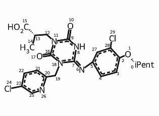 CCC[C@@H](C)Oc1ccc(/N=c2\[nH]c(=O)n(C[C@H](C)C(=O)O)c(=O)n2Cc2ccc(Cl)cn2)cc1Cl